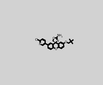 CC(C)(C)COc1ccc2c(c1)[C@]1(COC(N)=N1)c1cc(-c3ccc(Cl)nc3)ccc1O2